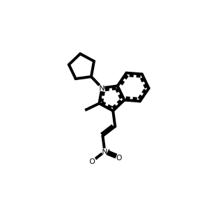 Cc1c(C=C[N+](=O)[O-])c2ccccc2n1C1CCCC1